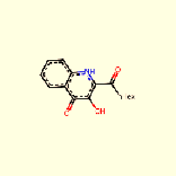 CCCCCCC(=O)c1[nH]c2ccccc2c(=O)c1O